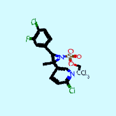 CC1(c2ccc(Cl)nc2)C(c2ccc(Cl)c(F)c2)N1S(=O)(=O)OCC(Cl)(Cl)Cl